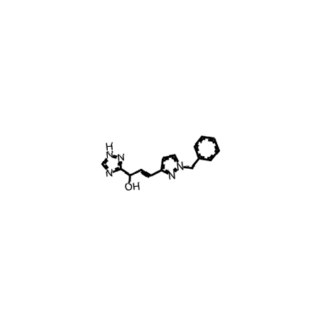 OC(C=Cc1ccn(Cc2ccccc2)n1)c1nc[nH]n1